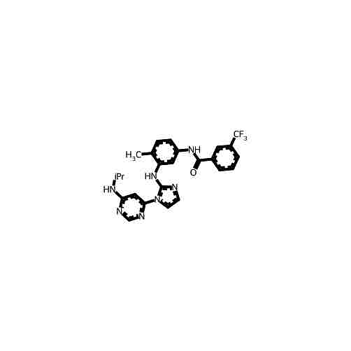 Cc1ccc(NC(=O)c2cccc(C(F)(F)F)c2)cc1Nc1nccn1-c1cc(NC(C)C)ncn1